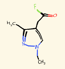 Cc1nn(C)cc1C(=O)F